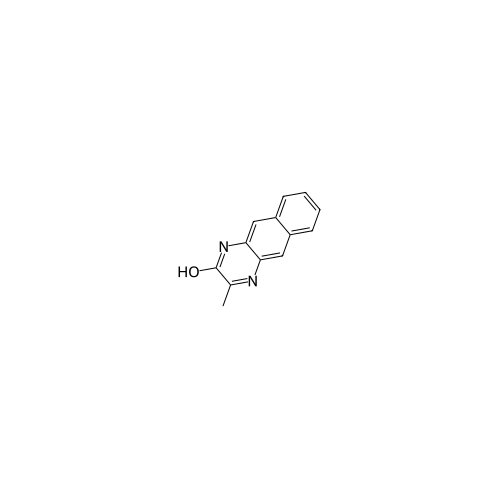 Cc1nc2cc3ccccc3cc2nc1O